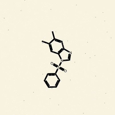 Cc1cc2ncn(S(=O)(=O)c3ccccc3)c2cc1C